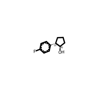 O[C@@H]1CCC[C@H]1c1ccc(F)cc1